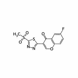 CS(=O)(=O)c1nnc(-c2coc3ccc(F)cc3c2=O)s1